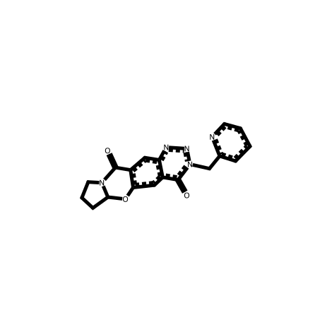 O=C1c2cc3nnn(Cc4ccccn4)c(=O)c3cc2OC2CCCN12